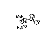 CNc1cc(-c2cn([C@@H]3CCCOC3)c3ncccc23)nc2c(C(N)=O)cnn12